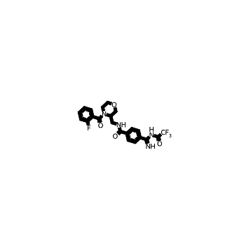 N=C(NC(=O)C(F)(F)F)c1ccc(C(=O)NCC2COCCN2C(=O)c2ccccc2F)cc1